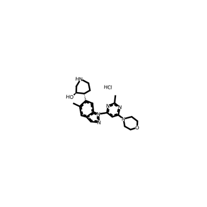 Cc1nc(N2CCOCC2)cc(-n2ncc3cc(C)c([C@H]4CCNC[C@@H]4O)cc32)n1.Cl